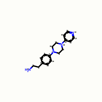 NCCc1ccc(N2CCN(c3ccncc3)CC2)cc1